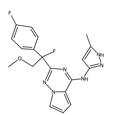 COCC(F)(c1ccc(F)cc1)c1nc(Nc2cc(C)[nH]n2)c2cccn2n1